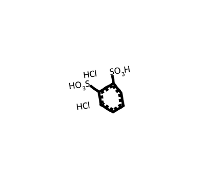 Cl.Cl.O=S(=O)(O)c1ccccc1S(=O)(=O)O